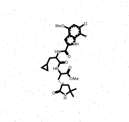 COC(=O)C(C[C@@H]1CC(C)(C)NC1=O)NC(=O)C(CC1CC1)NC(=O)c1cc2c(OC)cc(Cl)c(F)c2[nH]1